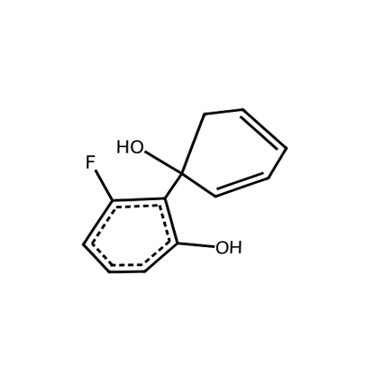 Oc1cccc(F)c1C1(O)C=CC=CC1